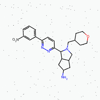 NC1CC2CN(CC3CCOCC3)C(c3ccc(-c4cccc([N+](=O)[O-])c4)nn3)C2C1